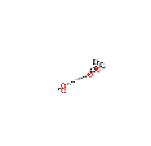 C=CC(=O)OCCCCCCCCCCCCOc1ccc2cc(-c3ccccc3CC)oc2c1